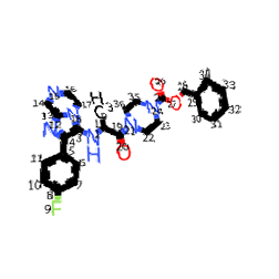 CC(Nc1c(-c2ccc(F)cc2)nc2cnccn12)C(=O)N1CCN(C(=O)OCc2ccccc2)CC1